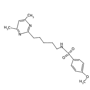 COc1ccc(S(=O)(=O)NCCCCCc2nc(C)cc(C)n2)cc1